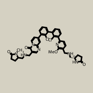 COc1nc(-c2cccc(-c3cccc(-c4ccn5c(=O)c(CNCC6CCC(=O)N6C)cnc5c4)c3Cl)c2Cl)ccc1CNC[C@@H]1CCC(=O)N1